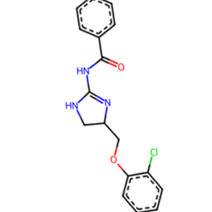 O=C(NC1=NC(COc2ccccc2Cl)CN1)c1ccccc1